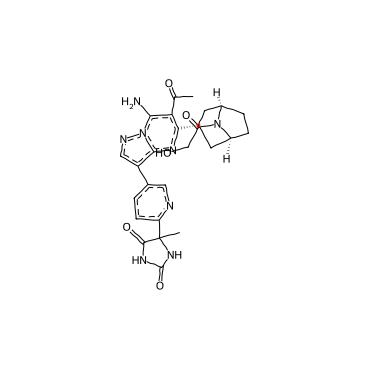 CC(=O)c1c([C@@H]2C[C@H]3CC[C@@H](C2)N3C(=O)CO)nc2c(-c3ccc(C4(C)NC(=O)NC4=O)nc3)cnn2c1N